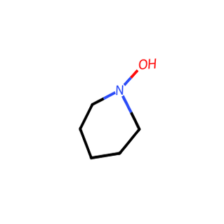 ON1CCCCC1